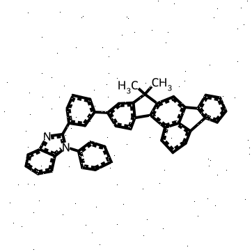 CC1(C)c2cc(-c3cccc(-c4nc5ccccc5n4-c4ccccc4)c3)ccc2-c2c1cc1c3c(cccc23)-c2ccccc2-1